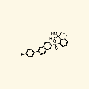 CC(C)(O)c1ccccc1S(=O)(=O)c1ccc2cc(-c3ccc(F)cc3)ccc2c1